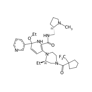 CCOC1(c2cccnc2)C=CC(N2CCN(C(=O)C3(C(F)(F)F)CCCC3)C[C@H]2CC)=C(C(=O)NC[C@@H]2CCCN2C)N1